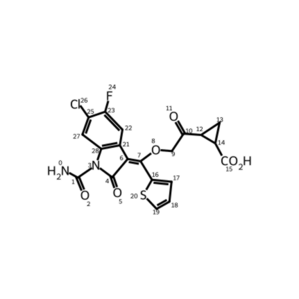 NC(=O)N1C(=O)C(=C(OCC(=O)C2CC2C(=O)O)c2cccs2)c2cc(F)c(Cl)cc21